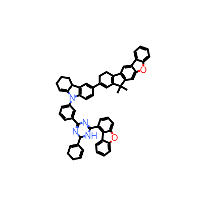 CC1(C)C2=C(CCC(c3ccc4c(c3)C3CCCC=C3N4c3cccc(C4=NC(C5=CCCC=C5)NC(c5cccc6oc7ccccc7c56)=N4)c3)=C2)c2cc3c(cc21)oc1ccccc13